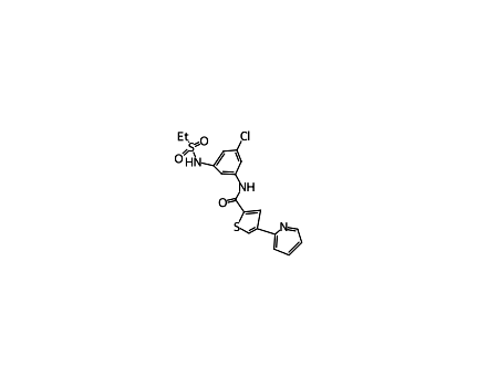 CCS(=O)(=O)Nc1cc(Cl)cc(NC(=O)c2cc(-c3ccccn3)cs2)c1